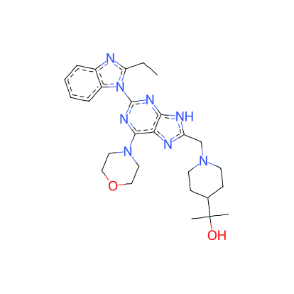 CCc1nc2ccccc2n1-c1nc(N2CCOCC2)c2nc(CN3CCC(C(C)(C)O)CC3)[nH]c2n1